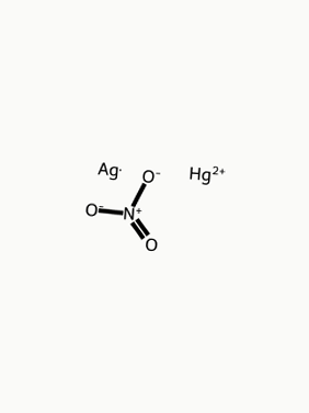 O=[N+]([O-])[O-].[Ag].[Hg+2]